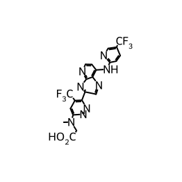 CN(CC(=O)O)c1cc(C(F)(F)F)c(-c2cnc3c(Nc4ccc(C(F)(F)F)cn4)ccnc3n2)nn1